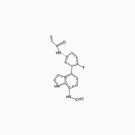 C=CC(=O)Nc1ccc(F)c(-c2ccc(NC=O)c3[nH]ccc23)c1